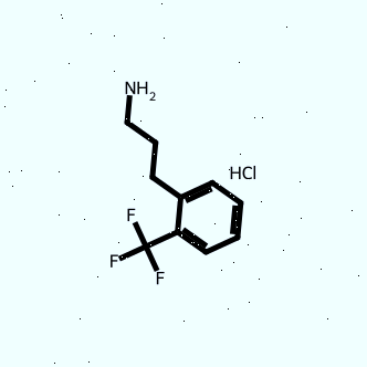 Cl.NCCCc1ccccc1C(F)(F)F